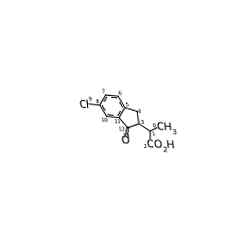 CC(C(=O)O)C1Cc2ccc(Cl)cc2C1=O